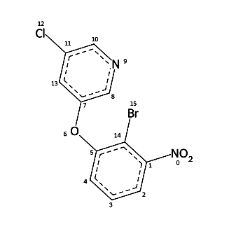 O=[N+]([O-])c1cccc(Oc2cncc(Cl)c2)c1Br